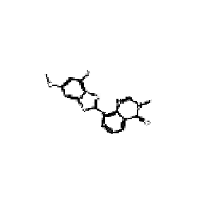 COc1cc(F)c2nc(-c3cccc4c(=O)n(C)cnc34)sc2c1